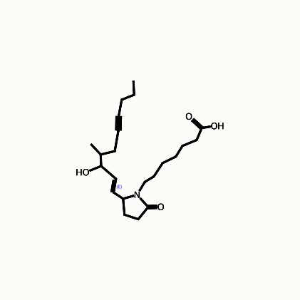 CCCC#CCC(C)C(O)/C=C/C1CCC(=O)N1CCCCCCC(=O)O